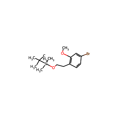 COc1cc(Br)ccc1CCO[Si](C)(C)C(C)(C)C